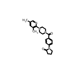 Cc1cnc(N2CCN(C(=O)c3[c]cc(N4CCCC4=O)cc3)CC2)c(C)c1